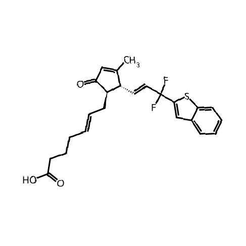 CC1=CC(=O)[C@H](CC=CCCCC(=O)O)[C@H]1C=CC(F)(F)c1cc2ccccc2s1